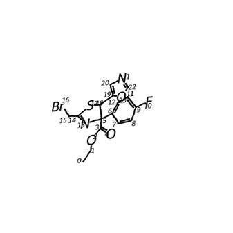 CCOC(=O)C1(c2ccc(F)cc2)N=C(CBr)SC1c1cnco1